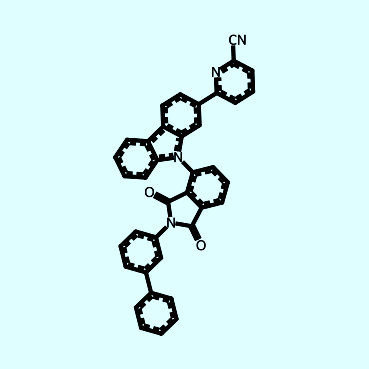 N#Cc1cccc(-c2ccc3c4ccccc4n(-c4cccc5c4C(=O)N(c4cccc(-c6ccccc6)c4)C5=O)c3c2)n1